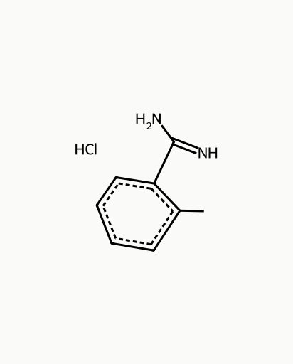 Cc1ccccc1C(=N)N.Cl